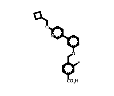 O=C(O)c1ccc(COc2cccc(-c3ccc(OCC4CCC4)nc3)c2)c(F)c1